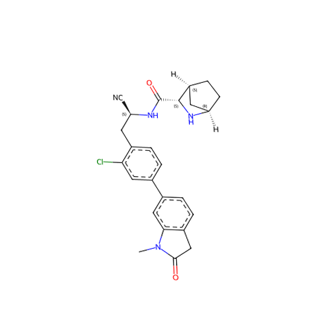 CN1C(=O)Cc2ccc(-c3ccc(C[C@@H](C#N)NC(=O)[C@H]4N[C@@H]5CC[C@H]4C5)c(Cl)c3)cc21